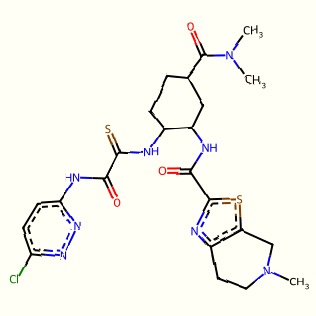 CN1CCc2nc(C(=O)NC3CC(C(=O)N(C)C)CCC3NC(=S)C(=O)Nc3ccc(Cl)nn3)sc2C1